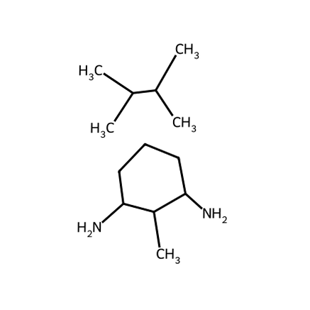 CC(C)C(C)C.CC1C(N)CCCC1N